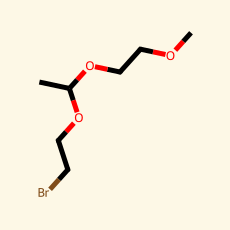 COCCOC(C)OCCBr